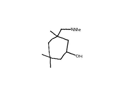 CNCC1(C)CC(O)CC(C)(C)C1